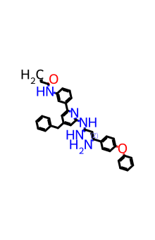 C=CC(=O)Nc1cccc(-c2cc(Cc3ccccc3)cc(NC(=N)/C=C(\N)c3ccc(Oc4ccccc4)cc3)n2)c1